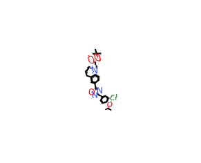 CC(C)Oc1ccc(-c2noc(-c3ccc4c(c3)CCCN4CC(=O)OC(C)(C)C)n2)cc1Cl